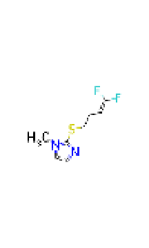 Cn1ccnc1SCCC=C(F)F